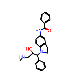 CNCC(O)C(c1ccccc1)N1CCc2cc(NC(=O)c3ccccc3)ccc21